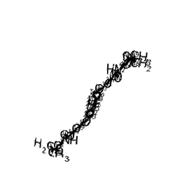 C=C(C)C(=O)OCCNC(=O)OCCOCCOc1ccc(C(F)(F)C(F)(F)c2ccc(OCCOCCOC(=O)NCCOC(=O)C(=C)C)cc2)cc1